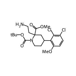 COC(=O)C1(CCN)CC(c2c(OC)ccc(Cl)c2Cl)CCN1C(=O)OC(C)(C)C